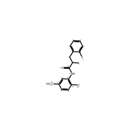 CC(Cc1ccccc1F)C(=O)Nc1cc(C(=O)O)ccc1Cl